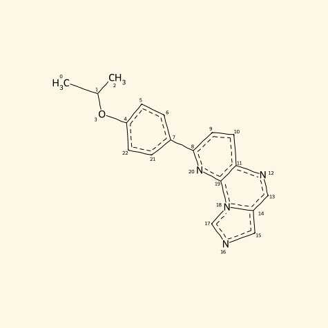 CC(C)Oc1ccc(-c2ccc3ncc4cncn4c3n2)cc1